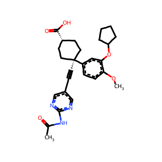 COc1ccc([C@]2(C#Cc3cnc(NC(C)=O)nc3)CC[C@@H](C(=O)O)CC2)cc1OC1CCCC1